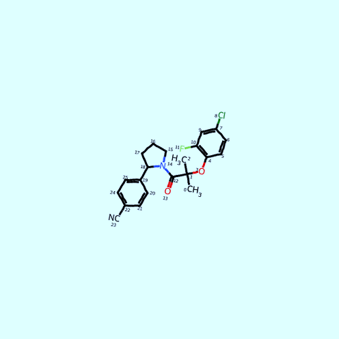 CC(C)(Oc1ccc(Cl)cc1F)C(=O)N1CCCC1c1ccc(C#N)cc1